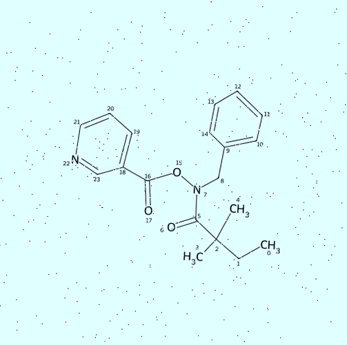 CCC(C)(C)C(=O)N(Cc1ccccc1)OC(=O)c1cccnc1